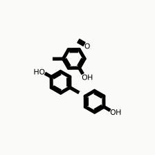 C=O.Cc1ccc(O)cc1.Cc1cccc(O)c1.Oc1ccccc1